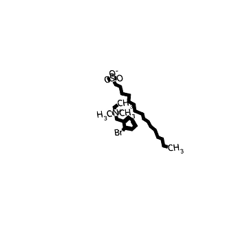 CCCCCCCCCCCCCCCCS(=O)(=O)[O-].CC[N+](C)(C)Cc1ccccc1Br